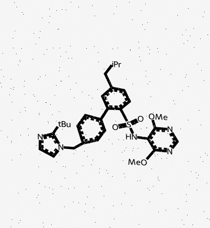 COc1ncnc(OC)c1NS(=O)(=O)c1ccc(CC(C)C)cc1-c1ccc(Cn2ccnc2C(C)(C)C)cc1